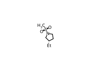 CC[C@H]1CCN(S(C)(=O)=O)C1